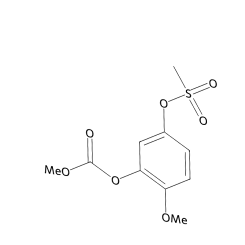 COC(=O)Oc1cc(OS(C)(=O)=O)ccc1OC